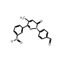 Cc1cc(=O)n(-c2ccc(C=O)cc2)nc1-c1cccc([N+](=O)[O-])c1